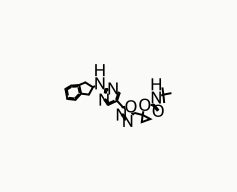 CC(C)(C)NC(=O)OC1(c2nnc(-c3cnc(NC4Cc5ccccc5C4)nc3)o2)CC1